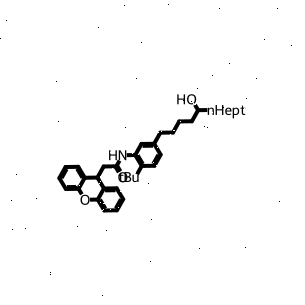 CCCCCCCC(O)CCCCc1ccc(C(C)(C)C)c(NC(=O)CC2c3ccccc3Oc3ccccc32)c1